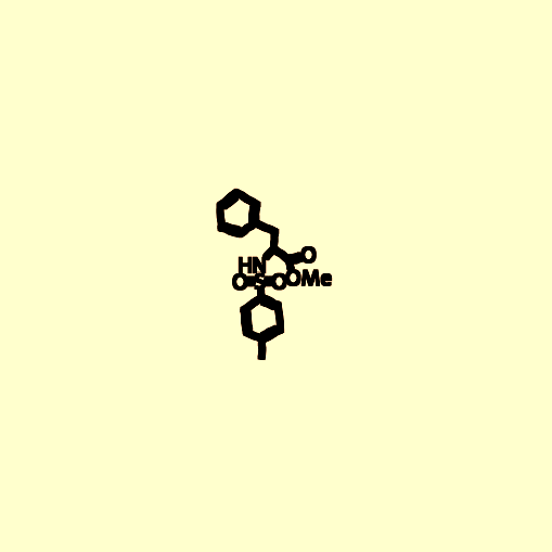 COC(=O)C(Cc1ccccc1)NS(=O)(=O)c1ccc(C)cc1